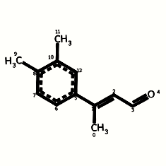 CC(=CC=O)c1ccc(C)c(C)c1